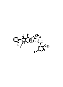 CCOc1ncc(Cl)cc1C(=O)NCC(C)(C)CC(=O)Nc1c(C)n(C)n(-c2ccccn2)c1=O